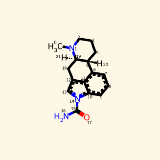 CN1CCC[C@@H]2c3cccc4c3c(cn4C(N)=O)C[C@H]21